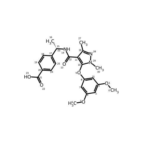 COc1cc(OC)cc(Oc2c(C(=O)N[C@@H](C)c3ccc(C(=O)O)cc3)c(C)nn2C)c1